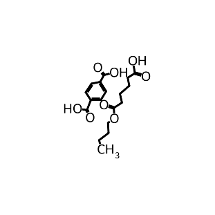 CCCCOC(=O)CCCCC(=O)O.O=C(O)c1ccc(C(=O)O)cc1